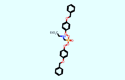 CCOC(=O)CNCP(=O)(OOc1ccc(OCc2ccccc2)cc1)OOc1ccc(OCc2ccccc2)cc1